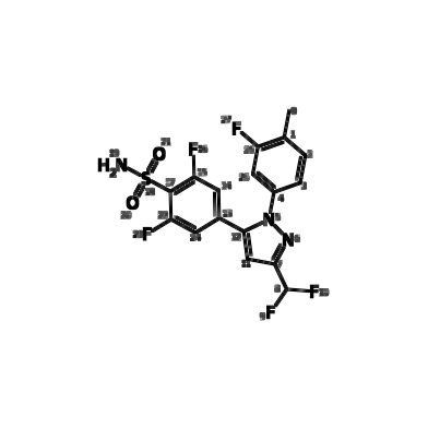 Cc1ccc(-n2nc(C(F)F)cc2-c2cc(F)c(S(N)(=O)=O)c(F)c2)cc1F